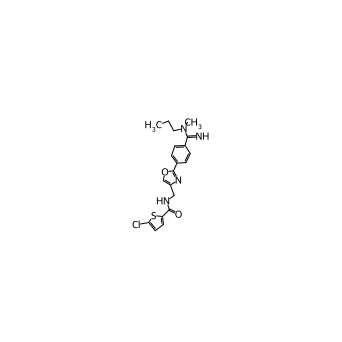 CCCN(C)C(=N)c1ccc(-c2nc(CNC(=O)c3ccc(Cl)s3)co2)cc1